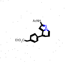 CCOC(=O)Cc1ccc(-c2cccn3nc(NC(C)=O)cc23)cc1